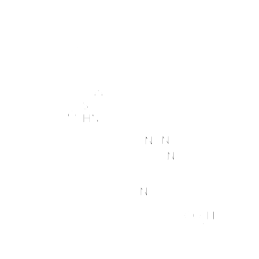 O=C(O)c1ccnc(-c2cn(-c3cccc(NS(=O)(=O)CCc4ccccc4)c3)nn2)c1